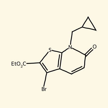 CCOC(=O)c1sc2c(ccc(=O)n2CC2CC2)c1Br